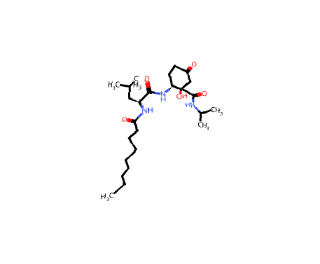 CCCCCCCCC(=O)N[C@@H](CC(C)C)C(=O)N[C@H]1CCC(=O)CC1(O)C(=O)NC(C)C